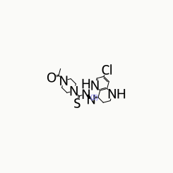 CC(=O)N1CCN(C(=S)N/N=C2/CCNc3cc(Cl)cnc32)CC1